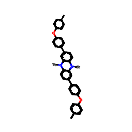 CCN1c2ccc(-c3ccc(Oc4ccc(C)cc4)cc3)cc2N(CC)c2ccc(-c3ccc(Oc4ccc(C)cc4)cc3)cc21